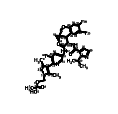 Cc1nn(COP(C)(=O)O)c(C)c1-c1ncc(NC(=O)[C@@H](NC(=O)c2ccnn2C(C)C)C2c3cc(F)c(F)cc3OCC23CC3)cc1F